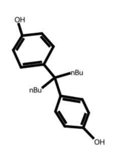 CCCCC(CCCC)(c1ccc(O)cc1)c1ccc(O)cc1